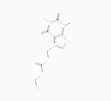 CCOC(=O)OCn1cnc2c1c(=O)n(C)c(=O)n2C